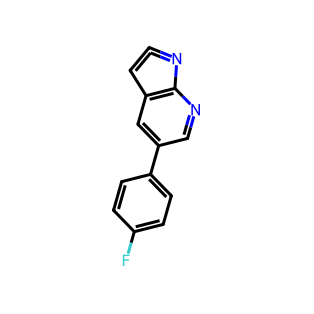 Fc1ccc(-c2cnc3c(c2)C=C=N3)cc1